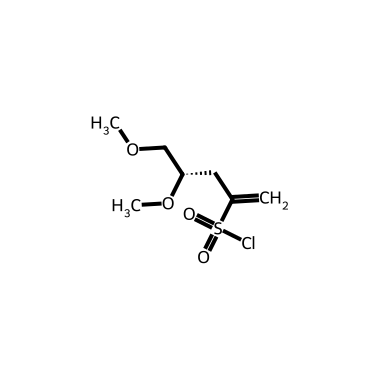 C=C(C[C@@H](COC)OC)S(=O)(=O)Cl